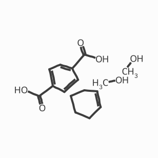 C1=CCCCC1.CO.CO.O=C(O)c1ccc(C(=O)O)cc1